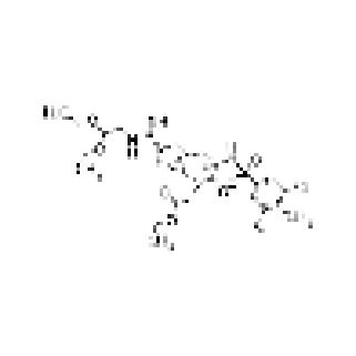 CCOC(=O)CN(C(=O)[C@H](CCCNC(=N)NCC(OCC)OCC)NS(=O)(=O)c1cc(Cl)c(N)c(Cl)c1)C1CC1